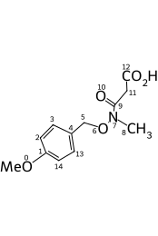 COc1ccc(CON(C)C(=O)CC(=O)O)cc1